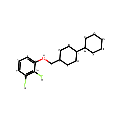 Fc1cccc(OCC2CCC(C3CCCCC3)CC2)c1F